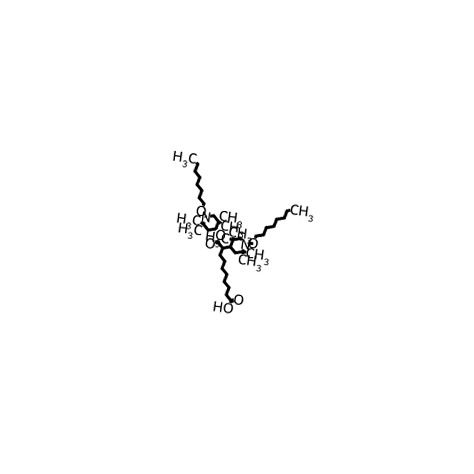 CCCCCCCCON1CC(C)(C)C(OC(=O)C(CCCCCCCC(=O)O)C2CC(C)(C)N(OCCCCCCCC)CC2(C)C)CC1(C)C